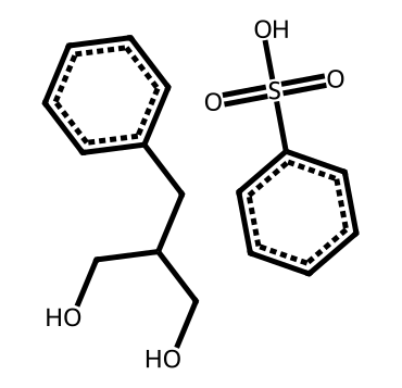 O=S(=O)(O)c1ccccc1.OCC(CO)Cc1ccccc1